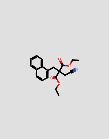 CCOC(=O)C(CC#N)(Cc1cccc2ccccc12)C(=O)OCC